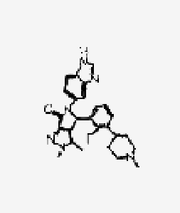 Cc1c2c(nn1C)C(=O)N(c1ccc3[nH]cnc3c1)C2c1cccc(C2CCN(C)CC2)c1F